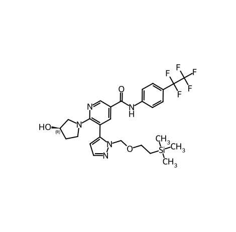 C[Si](C)(C)CCOCn1nccc1-c1cc(C(=O)Nc2ccc(C(F)(F)C(F)(F)F)cc2)cnc1N1CC[C@@H](O)C1